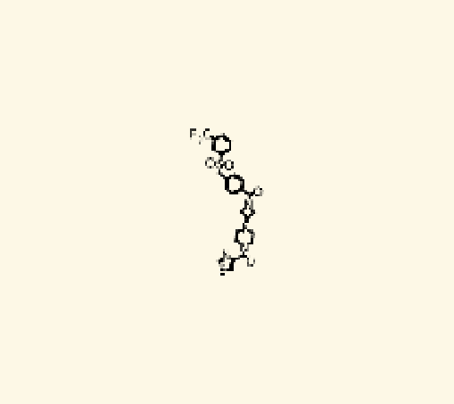 O=C(c1ccc(CS(=O)(=O)c2cccc(C(F)(F)F)c2)cc1)N1CC(N2CCN(C(=O)c3cscn3)CC2)C1